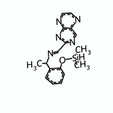 CC(N=Cc1ncc2nccnc2n1)c1ccccc1O[SiH](C)C